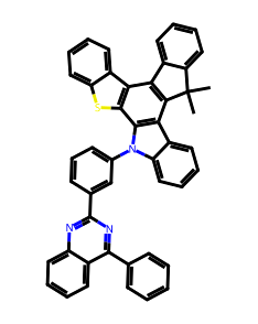 CC1(C)c2ccccc2-c2c1c1c3ccccc3n(-c3cccc(-c4nc(-c5ccccc5)c5ccccc5n4)c3)c1c1sc3ccccc3c21